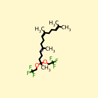 CC(C)=CCCC(C)=CCC/C(C)=C/CCC(C)(OCC(F)(F)F)OCC(F)(F)F